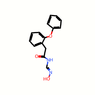 O=C(Cc1ccccc1Oc1ccccc1)NC=NO